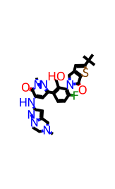 CN1CCn2nc(Nc3cc(-c4ccc(F)c(N5Cc6cc(C(C)(C)C)sc6C5=O)c4CO)nn(C)c3=O)cc2C1